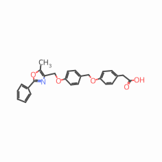 Cc1oc(-c2ccccc2)nc1COc1ccc(COc2ccc(CC(=O)O)cc2)cc1